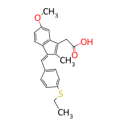 CCSc1ccc(C=C2C(C)=C(CC(=O)O)c3cc(OC)ccc32)cc1